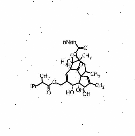 CCCCCCCCCC(=O)O[C@]1(C)CC(C)C23C=C(C)[C@H](O)[C@@]2(O)[C@H](O)C(COC(=O)C(C)C(C)C)=C[C@H](C3=O)C1(C)C